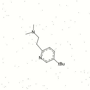 CN(C)CCc1ccc(C(C)(C)C)cn1